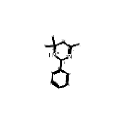 CC1=NC(c2ccccc2)NC(C)(C)C1